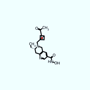 CC[C@H]1Cc2ncc(C(=O)NO)cc2CN1CC12CC(C1)N(C(C)=O)C2